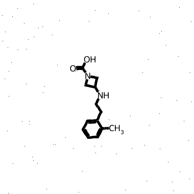 Cc1ccccc1CCNC1CN(C(=O)O)C1